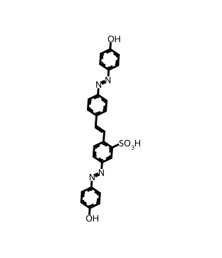 O=S(=O)(O)c1cc(N=Nc2ccc(O)cc2)ccc1C=Cc1ccc(N=Nc2ccc(O)cc2)cc1